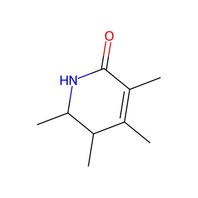 CC1=C(C)C(C)C(C)NC1=O